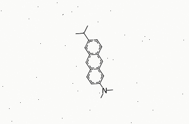 CC(C)c1ccc2cc3cc(N(C)C)ccc3cc2c1